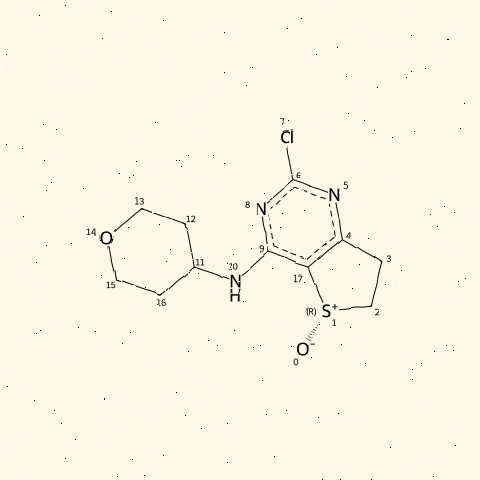 [O-][S@@+]1CCc2nc(Cl)nc(NC3CCOCC3)c21